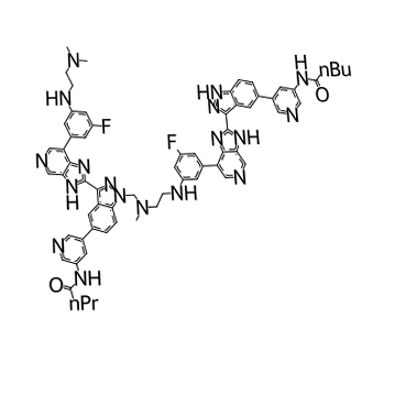 CCCCC(=O)Nc1cncc(-c2ccc3[nH]nc(-c4nc5c(-c6cc(F)cc(NCCN(C)Cn7nc(-c8nc9c(-c%10cc(F)cc(NCCN(C)C)c%10)cncc9[nH]8)c8cc(-c9cncc(NC(=O)CCC)c9)ccc87)c6)cncc5[nH]4)c3c2)c1